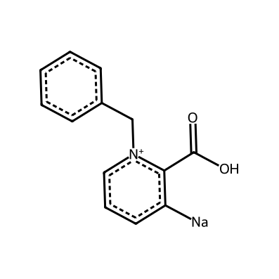 O=C(O)c1[c]([Na])ccc[n+]1Cc1ccccc1